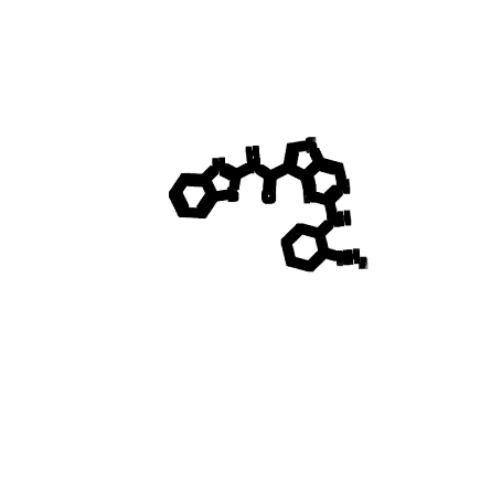 NC1CCCCC1Nc1ncc2scc(C(=O)Nc3nc4ccccc4s3)c2n1